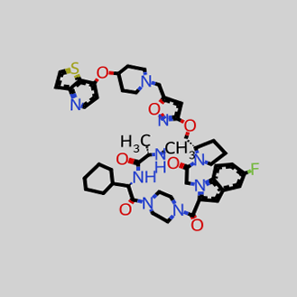 CN[C@@H](C)C(=O)N[C@H](C(=O)N1CCN(C(=O)c2cc3cc(F)ccc3n2CC(=O)N2CCC[C@H]2COc2cc(CN3CCC(Oc4ccnc5ccsc45)CC3)on2)CC1)C1CCCCC1